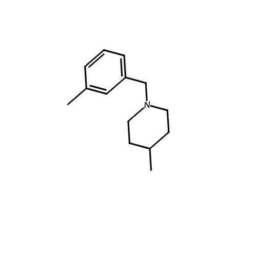 Cc1cccc(CN2CCC(C)CC2)c1